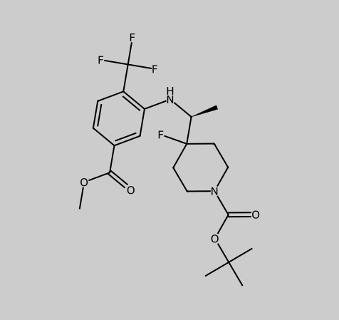 COC(=O)c1ccc(C(F)(F)F)c(N[C@@H](C)C2(F)CCN(C(=O)OC(C)(C)C)CC2)c1